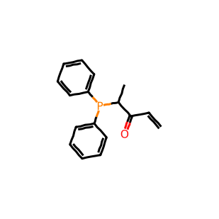 C=CC(=O)C(C)P(c1ccccc1)c1ccccc1